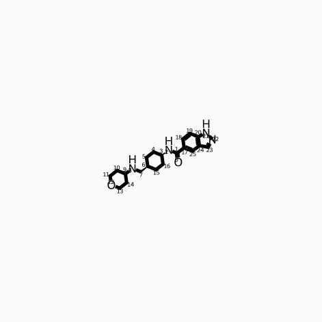 O=C(N[C@H]1CC[C@H](CNC2CCOCC2)CC1)c1ccc2[nH]ncc2c1